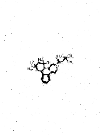 CC1(C)CC(c2ccccc2N2CCN(C(=O)OC(C)(C)C)CC2)CC(C)(C)C1